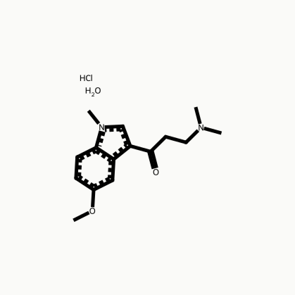 COc1ccc2c(c1)c(C(=O)CCN(C)C)cn2C.Cl.O